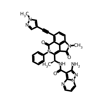 C[C@H](NC(=O)c1c(N)nn2cccnc12)c1c2c3c(ccc(C#Cc4cnn(C)c4)c3c(=O)n1-c1ccccc1)N(C)C2=O